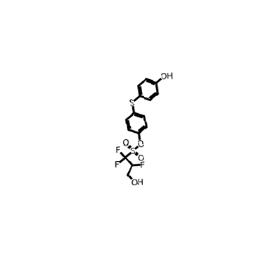 O=S(=O)(Oc1ccc(Sc2ccc(O)cc2)cc1)C(F)(F)C(F)CO